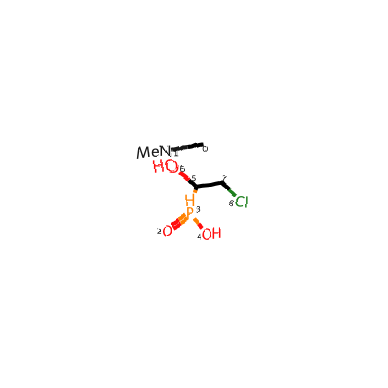 CNC.O=[PH](O)C(O)CCl